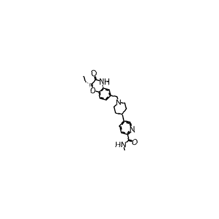 CC[C@H]1Oc2ccc(CN3CCC(c4ccc(C(=O)NC)nc4)CC3)cc2NC1=O